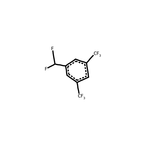 FC(F)c1cc(C(F)(F)F)cc(C(F)(F)F)c1